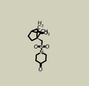 CC1(C)C2CC[C@@]1(CS(=O)(=O)N1CCC(=O)CC1)C(=O)C2